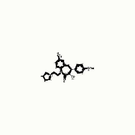 COc1ccc([C@H]2Cc3cc(C(F)(F)F)ccc3N(CCN3CCCC3)C(=O)[C@H]2O)cc1